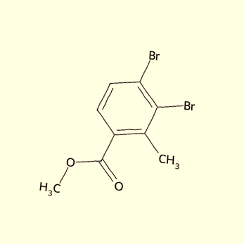 COC(=O)c1ccc(Br)c(Br)c1C